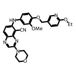 CCOc1ccc(COc2ccc(Nc3ccc4ncc(N5CCOCC5)nc4c3C#N)cc2OC)cn1